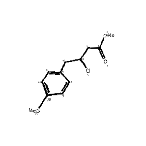 COC(=O)CC(Cl)Cc1ccc(OC)cc1